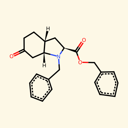 O=C1CC[C@@H]2C[C@@H](C(=O)OCc3ccccc3)N(Cc3ccccc3)[C@@H]2C1